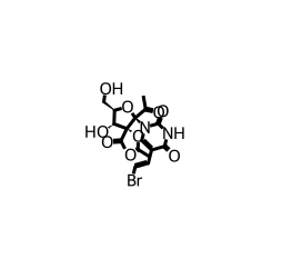 CC(=O)O[C@]1(C(C)=O)[C@H](O)[C@@H](CO)O[C@@]1(C(C)=O)n1cc(C=CBr)c(=O)[nH]c1=O